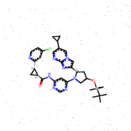 CC(C)(C)[Si](C)(C)OC1C[C@H](c2cn3cc(C4CC4)cnc3n2)N(c2cc(NC(=O)[C@H]3C[C@@H]3c3cc(Cl)ccn3)ncn2)C1